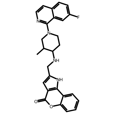 CC1CN(c2nccc3ccc(F)cc23)CCC1NCc1cc2c(=O)oc3ccccc3c2[nH]1